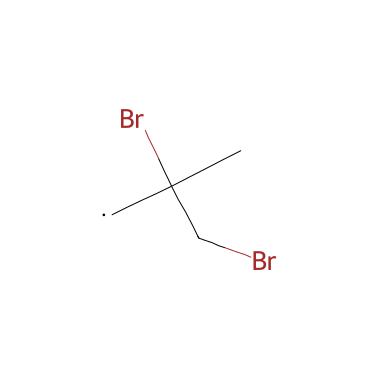 [CH2]C(C)(Br)CBr